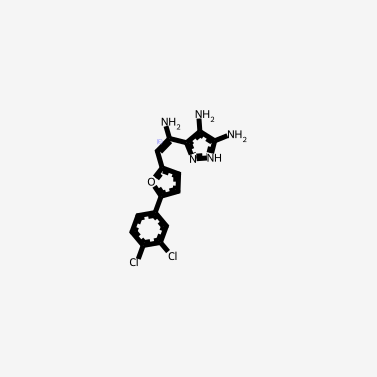 N/C(=C/c1ccc(-c2ccc(Cl)c(Cl)c2)o1)c1n[nH]c(N)c1N